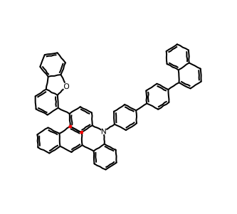 c1ccc(N(c2ccc(-c3ccc(-c4cccc5ccccc45)cc3)cc2)c2ccc(-c3cccc4c3oc3ccccc34)cc2)c(-c2ccc3ccccc3c2)c1